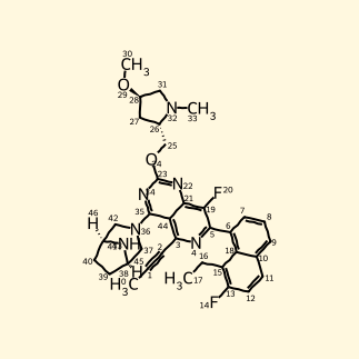 CC#Cc1nc(-c2cccc3ccc(F)c(CC)c23)c(F)c2nc(OC[C@@H]3C[C@@H](OC)CN3C)nc(N3C[C@H]4CC[C@@H](C3)N4)c12